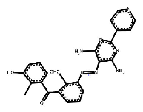 Cc1c(O)cccc1C(=O)c1cccc(/N=N/c2c(N)nc(-c3ccncc3)nc2N)c1C=O